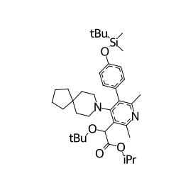 Cc1nc(C)c(C(OC(C)(C)C)C(=O)OC(C)C)c(N2CCC3(CCCC3)CC2)c1-c1ccc(O[Si](C)(C)C(C)(C)C)cc1